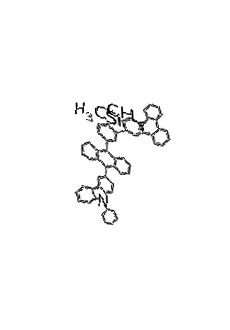 C[Si]1(C)c2ccc(-c3c4ccccc4c(-c4ccc5c(c4)c4ccccc4n5-c4ccccc4)c4ccccc34)cc2-c2cc3c4ccccc4c4ccccc4c3cc21